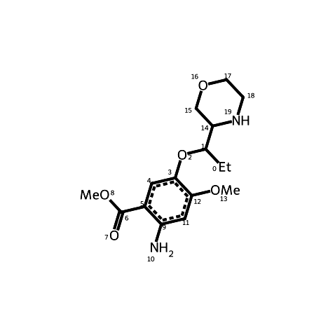 CCC(Oc1cc(C(=O)OC)c(N)cc1OC)C1COCCN1